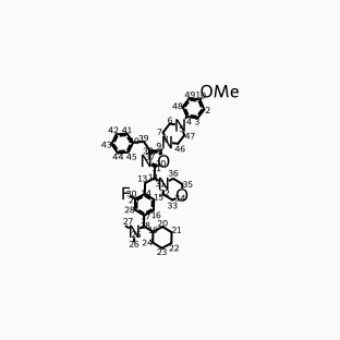 COc1ccc(N2CCN(c3oc(C(Cc4ccc(C(C5CCCCC5)N(C)C)cc4F)N4CCOCC4)nc3Cc3ccccc3)CC2)cc1